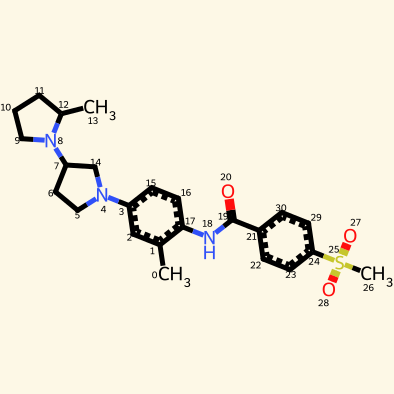 Cc1cc(N2CCC(N3CCCC3C)C2)ccc1NC(=O)c1ccc(S(C)(=O)=O)cc1